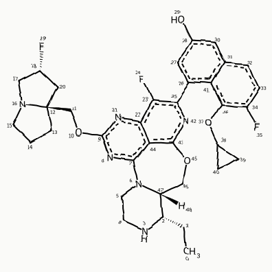 CC[C@@H]1NCCN2c3nc(OC[C@@]45CCCN4C[C@H](F)C5)nc4c(F)c(-c5cc(O)cc6ccc(F)c(OC7CC7)c56)nc(c34)OC[C@H]12